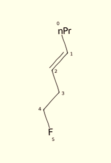 [CH2]CCC=CCCF